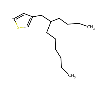 CCCCCCC(CCCC)Cc1c[c]sc1